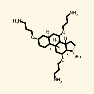 CC[C@@H](C)[C@H]1CC[C@H]2[C@@H]3[C@H](OCCCN)C[C@@H]4C[C@H](OCCCN)CC[C@]4(C)[C@H]3C[C@H](OCCCN)[C@]12C